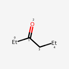 [CH2]CC(=O)CCC